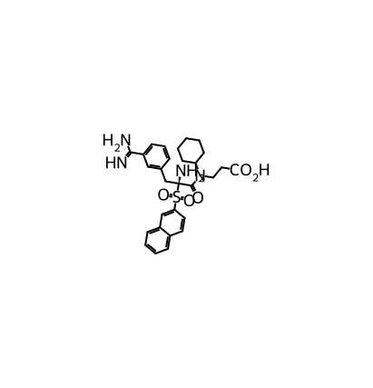 N=C(N)c1cccc(C[C@](N)(C(=O)N(CCC(=O)O)C2CCCCC2)S(=O)(=O)c2ccc3ccccc3c2)c1